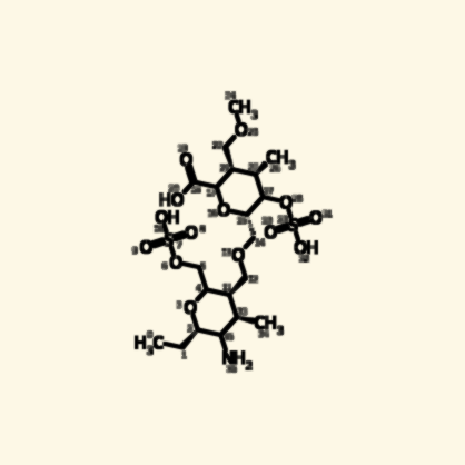 CC[C@H]1OC(COS(=O)(=O)O)[C@@H](COC[C@@H]2OC(C(=O)O)[C@@H](COC)[C@@H](C)C2OS(=O)(=O)O)[C@@H](C)C1N